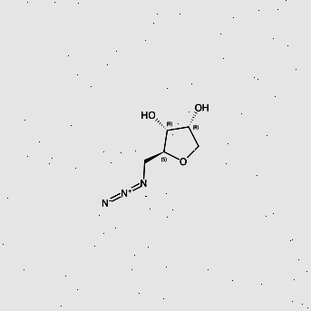 [N-]=[N+]=NC[C@@H]1OC[C@@H](O)[C@H]1O